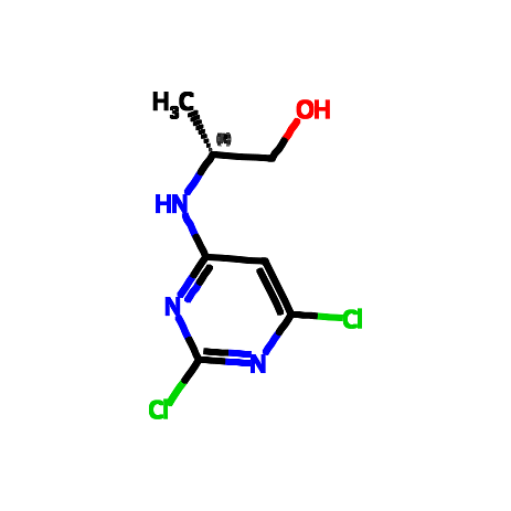 C[C@H](CO)Nc1cc(Cl)nc(Cl)n1